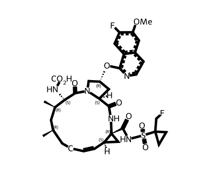 COc1cc2ccnc(O[C@@H]3C[C@H]4C(=O)N[C@]5(C(=O)NS(=O)(=O)C6(CF)CC6)C[C@H]5C=CCC[C@@H](C)C[C@@H](C)[C@H](NC(=O)O)C(=O)N4C3)c2cc1F